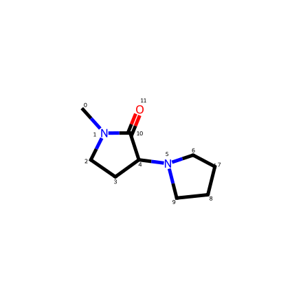 CN1CCC(N2C[CH]CC2)C1=O